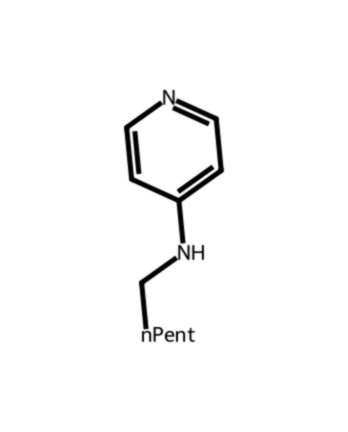 CCCCCCNc1ccncc1